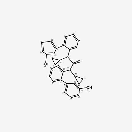 O=C(C(c1ccccc1-c1cccc(O)c1)C1CC1)C(c1ccccc1-c1cccc(O)c1)C1CC1